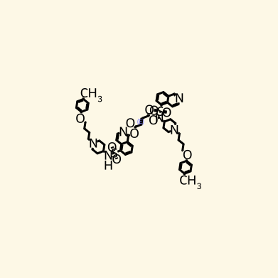 Cc1ccc(OCCCCN2CCC(NS(=O)(=O)c3cccc4c(OC(=O)/C=C/C(=O)ON(C5CCN(CCCCOc6ccc(C)cc6)CC5)S(=O)(=O)c5cccc6cnccc56)nccc34)CC2)cc1